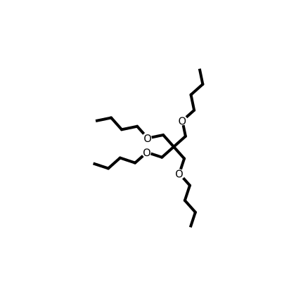 CCCCOCC(COCCCC)(COCCCC)COCCCC